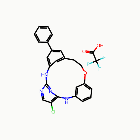 Clc1cnc2nc1Nc1cccc(c1)OCCc1cc(cc(-c3ccccc3)c1)N2.O=C(O)C(F)(F)F